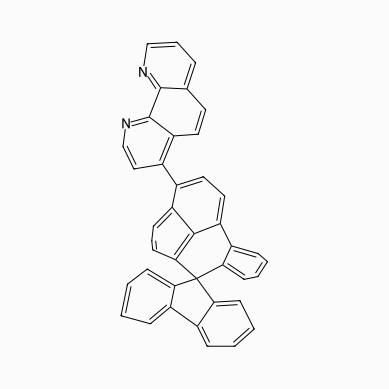 c1ccc2c(c1)-c1ccccc1C21c2ccccc2-c2ccc(-c3ccnc4c3ccc3cccnc34)c3cccc1c23